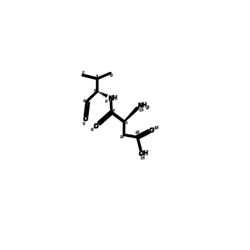 CC(C)[C@@H]([C]=O)NC(=O)[C@@H](N)CC(=O)O